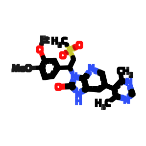 CCOc1cc(C(CS(C)(=O)=O)n2c(=O)[nH]c3cc(-c4c(C)ncnc4C)cnc32)ccc1OC